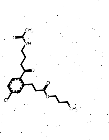 CCCCOC(=O)CCc1cc(Cl)ccc1C(=O)CCCNC(C)=O